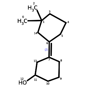 CC1(C)CCC/C(=C2\CCCC(O)C2)C1